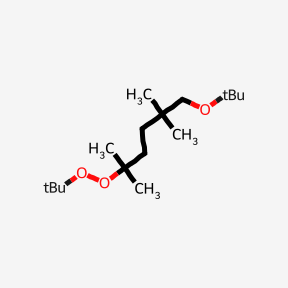 CC(C)(CCC(C)(C)OOC(C)(C)C)COC(C)(C)C